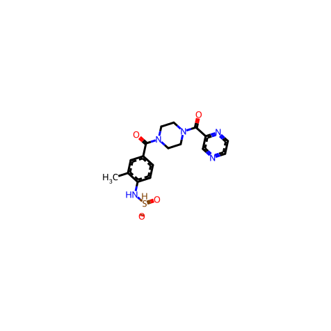 Cc1cc(C(=O)N2CCN(C(=O)c3cnccn3)CC2)ccc1N[SH](=O)=O